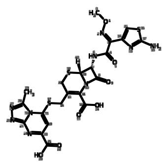 CON=C(C(=O)N[C@@H]1C(=O)N2C(C(=O)O)=C(CSc3cc(C(=O)O)nc4nnc(C)n34)CS[C@H]12)c1csc(N)n1